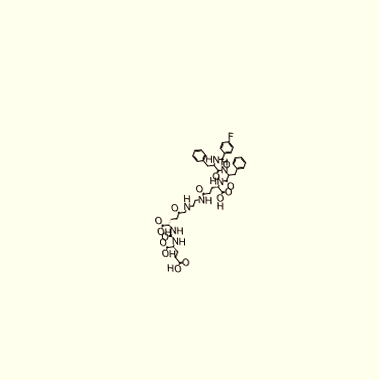 O=C(O)CC[C@H](NC(=O)N[C@@H](CCC(=O)CNCCNC(=O)CC[C@@H](NC(=O)C(Cc1ccccc1)NC(=O)C(Cc1ccccc1)NC(=O)c1ccc(F)cc1)C(=O)O)C(=O)O)C(=O)O